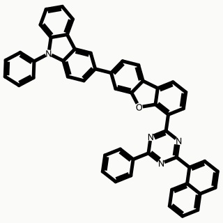 c1ccc(-c2nc(-c3cccc4ccccc34)nc(-c3cccc4c3oc3cc(-c5ccc6c(c5)c5ccccc5n6-c5ccccc5)ccc34)n2)cc1